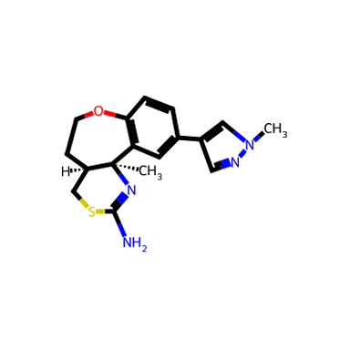 Cn1cc(-c2ccc3c(c2)[C@@]2(C)N=C(N)SC[C@H]2CCO3)cn1